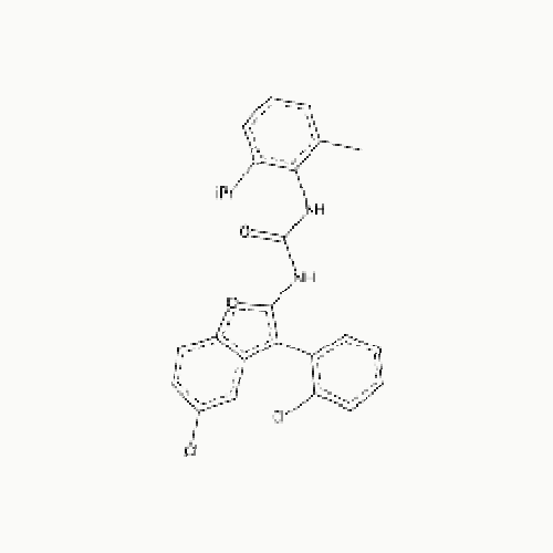 Cc1cccc(C(C)C)c1NC(=O)Nc1oc2ccc(Cl)cc2c1-c1ccccc1Cl